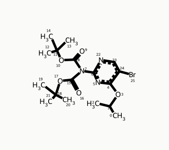 CC(C)Oc1nc(N(C(=O)OC(C)(C)C)C(=O)OC(C)(C)C)ncc1Br